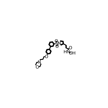 O=C(C=Cc1ccn(S(=O)(=O)c2cccc(-c3ccc(OCCCN4CCOCC4)cc3)c2)c1)NO